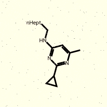 CCCCCCCCNc1cc(C)nc(C2CC2)n1